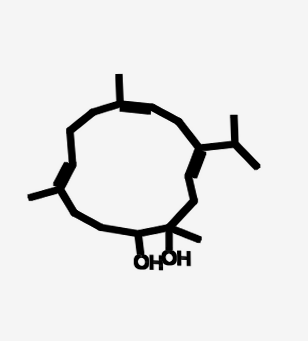 C/C1=C/C/C(C(C)C)=C/CC(C)(O)C(O)CC/C(C)=C/CC1